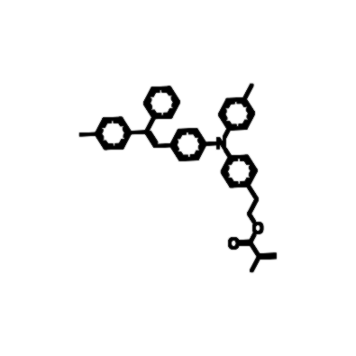 C=C(C)C(=O)OCCc1ccc(N(c2ccc(C)cc2)c2ccc(/C=C(\c3ccccc3)c3ccc(C)cc3)cc2)cc1